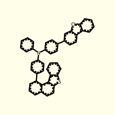 c1ccc(N(c2ccc(-c3ccc4c(c3)oc3ccccc34)cc2)c2ccc(-c3cccc4ccc5sc6ccccc6c5c34)cc2)cc1